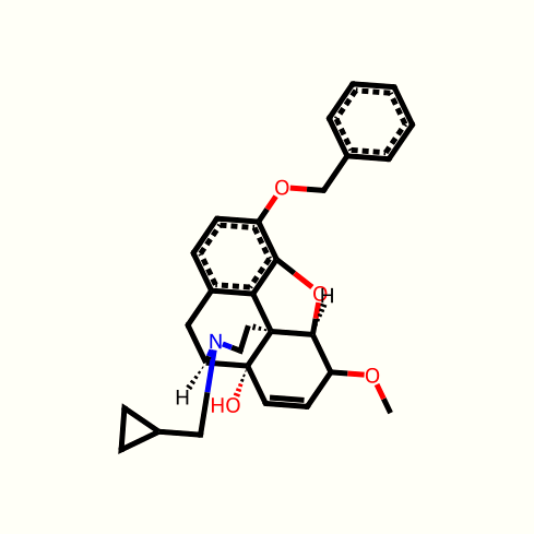 COC1C=C[C@@]2(O)[C@H]3Cc4ccc(OCc5ccccc5)c5c4[C@@]2(CCN3CC2CC2)[C@H]1O5